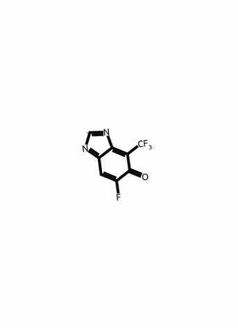 O=C1C(F)=CC2=N[C]=NC2=C1C(F)(F)F